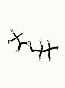 O=C(OCC(F)(F)C(F)(F)F)C(F)(F)F